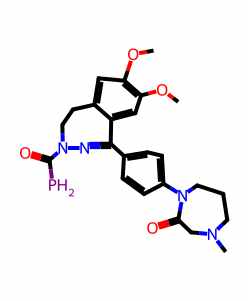 COc1cc2c(cc1OC)C(c1ccc(N3CCCN(C)CC3=O)cc1)=NN(C(=O)P)CC2